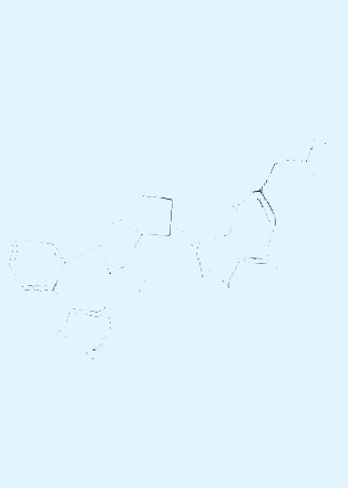 CCc1nc2c(C)cc(CC(C)=O)nc2n1[C@H]1CCc2cc(-c3ccccc3-c3nnn[nH]3)ccc21